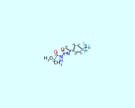 CC(C)C(=O)Nc1nc(-c2ccc(C(F)(F)F)cc2)co1